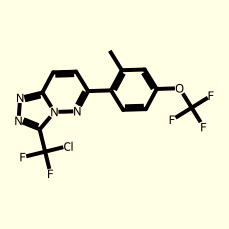 Cc1cc(OC(F)(F)F)ccc1-c1ccc2nnc(C(F)(F)Cl)n2n1